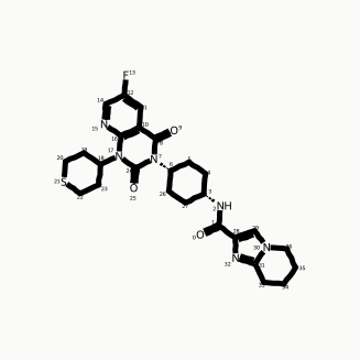 O=C(N[C@H]1CC[C@@H](n2c(=O)c3cc(F)cnc3n(C3CCSCC3)c2=O)CC1)c1cn2c(n1)CCCC2